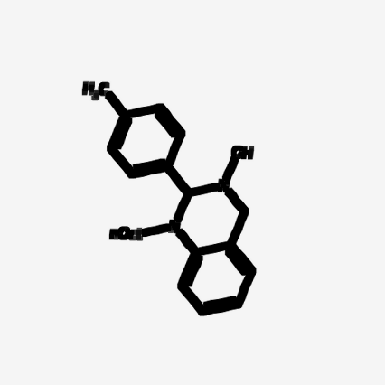 CCCCCCCCN1c2ccccc2CN(O)C1c1ccc(C)cc1